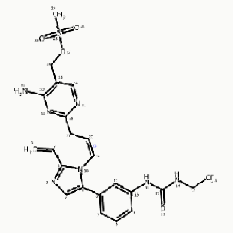 C=Cc1ncc(-c2cccc(NC(=O)NCC(F)(F)F)c2)n1/C=C\Cc1ncc(COS(C)(=O)=O)c(N)n1